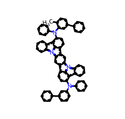 Cc1ccc(-c2ccccc2)cc1N(c1ccccc1)c1ccc2c3cc4c(cc3n3c5ccccc5c1c23)c1ccc(N(c2ccccc2)c2cccc(-c3ccccc3)c2)c2c3ccccc3n4c12